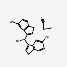 CCC#N.N#CC(C1=CCc2ccc(O)cc21)C1=CCc2ccc(O)cc21